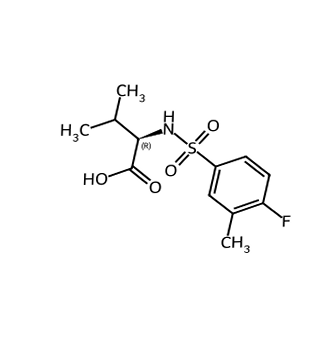 Cc1cc(S(=O)(=O)N[C@@H](C(=O)O)C(C)C)ccc1F